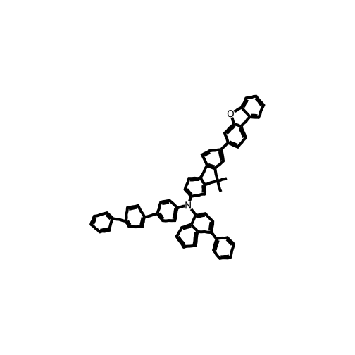 CC1(C)c2cc(-c3ccc4c(c3)oc3ccccc34)ccc2-c2ccc(N(c3ccc(-c4ccc(-c5ccccc5)cc4)cc3)c3ccc(-c4ccccc4)c4ccccc34)cc21